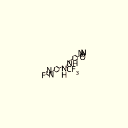 Fc1cnc(-c2ccc(CN[C@H](CNCc3ccc(-c4nnco4)cc3)C(F)(F)F)cc2)nc1